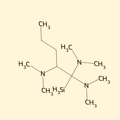 CCCC(N(C)C)C([SiH3])(N(C)C)N(C)C